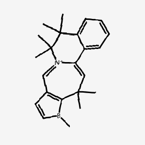 CB1C=CC2=C1C(C)(C)C=C1c3ccccc3C(C)(C)C(C)(C)[N+]1=C2